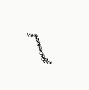 CNC(=O)OOCCOCCOCCOCCOCCOC